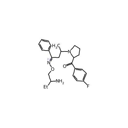 CCC(N)CO/N=C(\CC(C)N1CCCC1C(=O)c1ccc(F)cc1)c1ccccc1